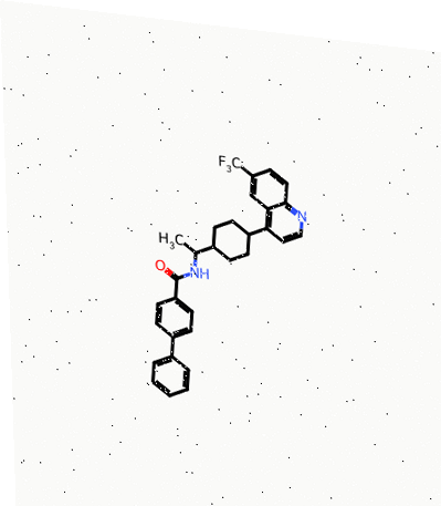 CC(NC(=O)c1ccc(-c2ccccc2)cc1)C1CCC(c2ccnc3ccc(C(F)(F)F)cc23)CC1